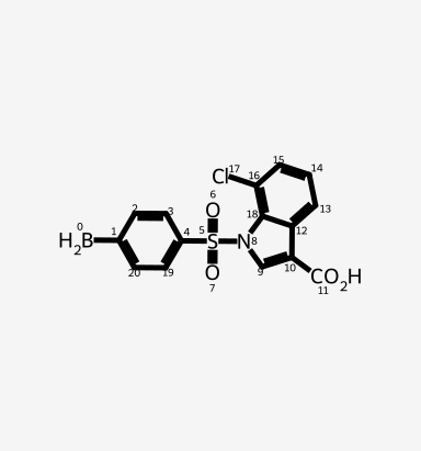 Bc1ccc(S(=O)(=O)n2cc(C(=O)O)c3cccc(Cl)c32)cc1